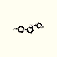 CCN1CCN(c2cccc(N[C@H]3CCNC3)n2)CC1